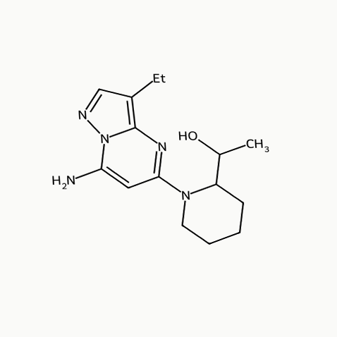 CCc1cnn2c(N)cc(N3CCCCC3C(C)O)nc12